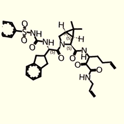 C=CCCC(NC(=O)[C@@H]1[C@H]2[C@@H](CN1C(=O)[C@@H](NC(=O)NS(=O)(=O)c1ccccc1)C1Cc3ccccc3C1)C2(C)C)C(=O)C(=O)NCC=C